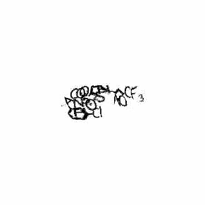 C[C@]1(c2cccc(Cl)c2)C[C@@]1(NS(=O)(=O)c1ccc(-c2cc(C(F)(F)F)on2)s1)C(=O)O